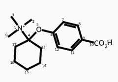 C[N+](C)(C)C1(Oc2ccc(C(=O)O)cc2)CCCCC1